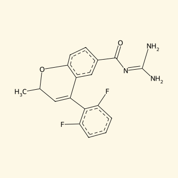 CC1C=C(c2c(F)cccc2F)c2cc(C(=O)N=C(N)N)ccc2O1